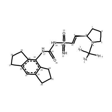 [2H]C([2H])([2H])N1CCC[C@@H]1/C=C/S(=N)(=O)NC(=O)Nc1c2c(cc3c1CCC3)CCC2